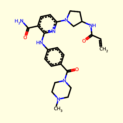 C=CC(=O)NC1CCN(c2ccc(C(N)=O)c(Nc3ccc(C(=O)N4CCN(C)CC4)cc3)n2)C1